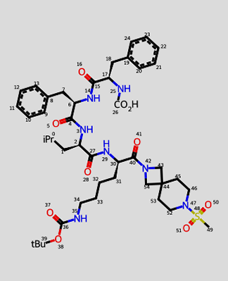 CC(C)C[C@@H](NC(=O)[C@@H](Cc1ccccc1)NC(=O)[C@@H](Cc1ccccc1)NC(=O)O)C(=O)N[C@H](CCCCNC(=O)OC(C)(C)C)C(=O)N1CC2(CCN(S(C)(=O)=O)CC2)C1